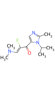 Cc1ncc(C(=O)C(F)=CN(C)C)n1C(C)C